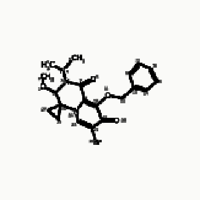 COC1N(N(C)C)C(=O)c2c(OCc3ccccc3)c(=O)c(Br)cn2C12CC2